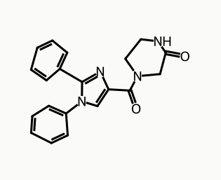 O=C1CN(C(=O)c2cn(-c3ccccc3)c(-c3ccccc3)n2)CCN1